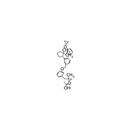 CC1(C)CCC[C@@H]1c1cc(COc2cccc([C@@H](CC(=O)O)C3(C)CC3)c2)ccc1-c1cccc(OC2CC2)c1